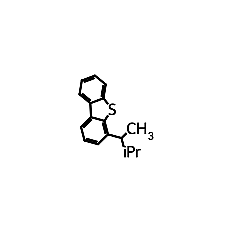 CC(C)C(C)c1cccc2c1sc1ccccc12